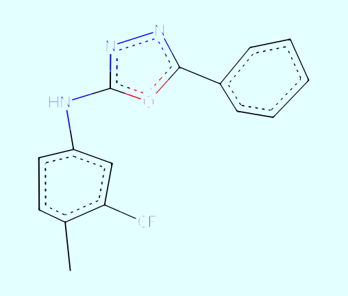 Cc1ccc(Nc2nnc(-c3ccccc3)o2)cc1C(F)(F)F